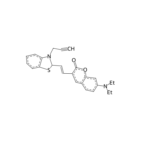 C#CCN1c2ccccc2SC1/C=C/c1cc2ccc(N(CC)CC)cc2oc1=O